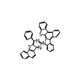 c1ccc(-c2nc(-n3c4ccccc4c4c5ccccc5c5c6ccccc6sc5c43)nc3c2sc2c4ccccc4ccc32)cc1